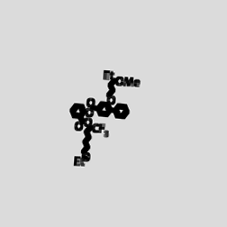 CCOCCCCCC(OC(=O)c1ccccc1OC(=O)c1ccc(-c2ccccc2)c(OCCCC(CC)OC)c1)C(F)(F)F